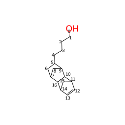 OCCCCC1CC2CC1C1C3C=CC(C3)C21